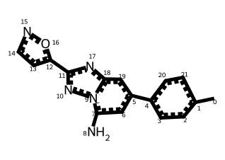 Cc1ccc(-c2cc(N)n3nc(-c4ccno4)nc3c2)cc1